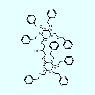 OC(CO[C@@H]1O[C@H](COCc2ccccc2)[C@@H](OCc2ccccc2)[C@H](OCc2ccccc2)[C@@H]1OCc1ccccc1)CO[C@@H]1O[C@H](COCc2ccccc2)[C@@H](OCc2ccccc2)[C@H](OCc2ccccc2)[C@@H]1OCc1ccccc1